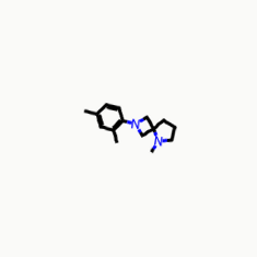 Cc1ccc(N2CC3(CCCN3C)C2)c(C)c1